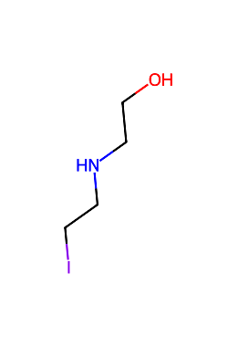 OCCNCCI